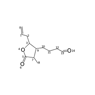 C=CCC1OC(=O)C(C)C1CCCC=O